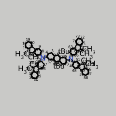 CC(C)(C)c1c2ccc(N(c3ccc4c(c3)C(C)(C)c3ccccc3-4)C3C=C4C(=CC3)c3ccccc3C4(C)C)cc2c(C(C)(C)C)c2ccc(N(c3ccc4c(c3)C(C)(C)c3ccccc3-4)c3ccc4c(c3)C(C)(C)c3ccccc3-4)cc12